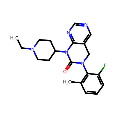 CCN1CCC(N2C(=O)N(c3c(C)cccc3F)Cc3cncnc32)CC1